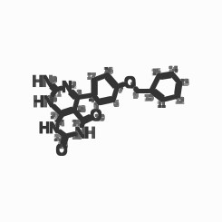 N=c1nc(-c2ccc(OCc3ccccc3)cc2)c2c(=O)[nH]c(=O)[nH]c2[nH]1